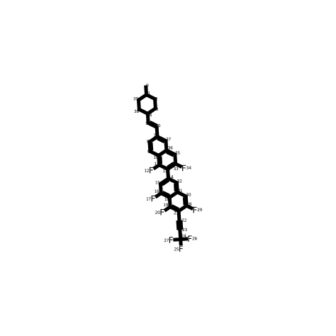 CC1CCC(/C=C/c2ccc3c(F)c(-c4cc(F)c5c(F)c(C#CC(F)(F)F)c(F)cc5c4)c(F)cc3c2)CC1